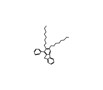 CCCCCCCCc1cc2c(c(-c3ccccc3)c1CCCCCCCC)Cc1ccccc1-2